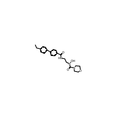 CCc1ccc(-c2ccc(C(=O)NCCN(O)C(=O)N3CCOCC3)cc2)cc1